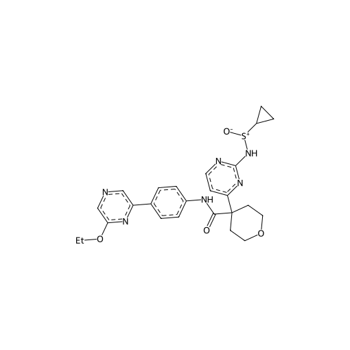 CCOc1cncc(-c2ccc(NC(=O)C3(c4ccnc(N[S+]([O-])C5CC5)n4)CCOCC3)cc2)n1